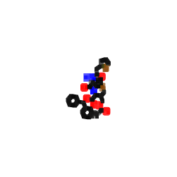 CC(C)C(=O)OCC1=C(C(=O)OC(c2ccccc2)c2ccccc2)N2C(=O)[C@@H](NC(=O)Cc3cccs3)[C@H]2SC1